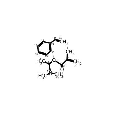 C=C(C)C(=O)OC(C)N(C)C.C=Cc1ccccc1